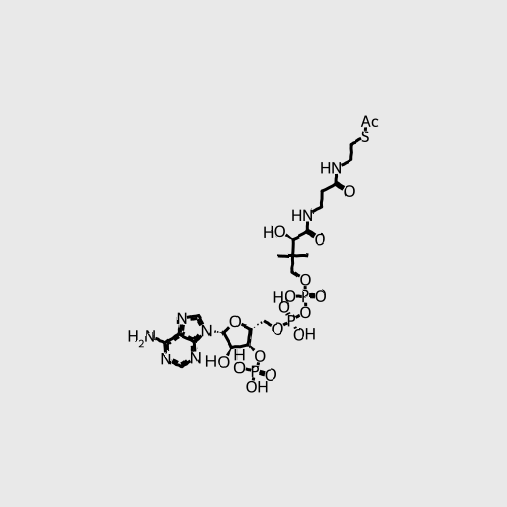 CC(C)(COP(=O)(O)OP(=O)(O)OC[C@H]1O[C@@H](n2cnc3c(N)ncnc32)[C@H](O)[C@@H]1OP(=O)(O)O)[C@@H](O)C(=O)NCCC(=O)NCCS[13C]([13CH3])=O